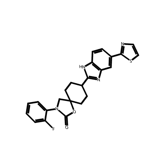 O=C1OC2(CCC(c3nc4cc(-c5nccs5)ccc4[nH]3)CC2)CN1c1ccccc1F